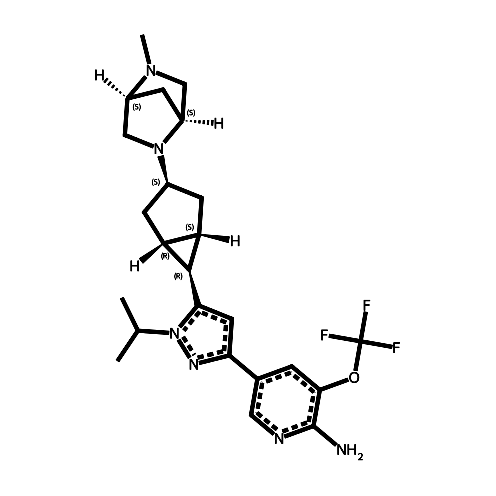 CC(C)n1nc(-c2cnc(N)c(OC(F)(F)F)c2)cc1[C@H]1[C@@H]2C[C@@H](N3C[C@@H]4C[C@H]3CN4C)C[C@@H]21